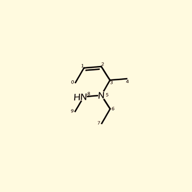 C/C=C\C(C)N(CC)NC